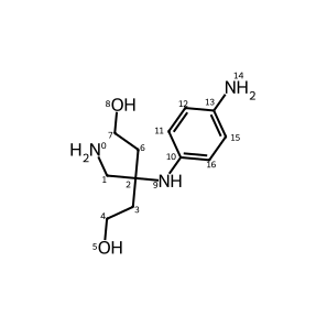 NCC(CCO)(CCO)Nc1ccc(N)cc1